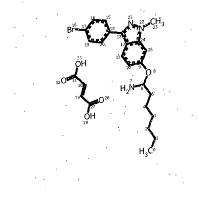 CCCCCCC(N)Oc1ccc2c(-c3ccc(Br)cc3)nn(C)c2c1.O=C(O)/C=C/C(=O)O